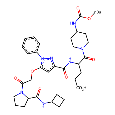 CCCCOC(=O)NC1CCN(C(=O)C(CCC(=O)O)NC(=O)c2cc(OCC(=O)N3CCCC3C(=O)NC3CCC3)n(-c3ccccc3)n2)CC1